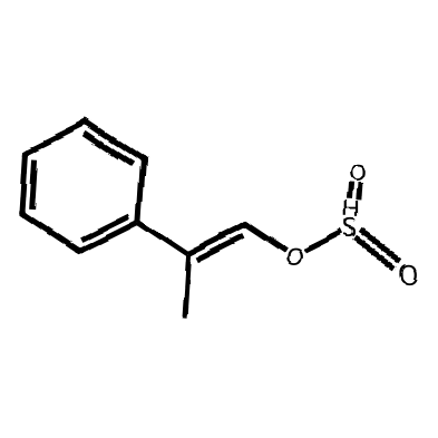 CC(=CO[SH](=O)=O)c1ccccc1